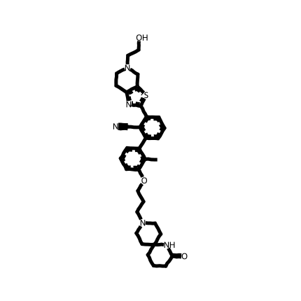 Cc1c(OCCCN2CCC3(CCCC(=O)N3)CC2)cccc1-c1cccc(-c2nc3c(s2)CN(CCO)CC3)c1C#N